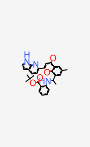 Cc1cc(C(C)Nc2ccccc2C(=O)OC(C)(C)C)c2oc(-c3ccc4cc[nH]c4n3)cc(=O)c2c1